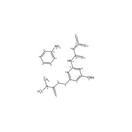 COc1cc(CSC(=S)N(C)C)nc(NC(=O)N=S(=O)=O)n1.O=[N+]([O-])c1ccccc1